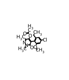 CCc1cc(Cl)cc(OC)c1-c1c(OC(C)=O)c(C)nn(C)c1=O